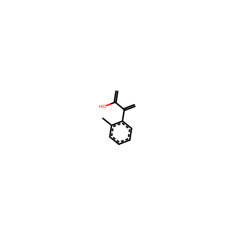 C=C(O)C(=C)c1ccccc1C